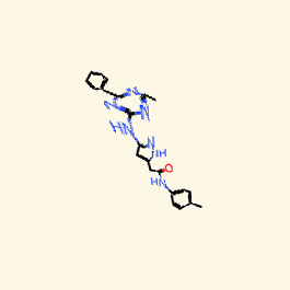 Cc1ccc(NC(=O)Cc2cc(Nc3nc(C)nc(-c4ccccc4)n3)n[nH]2)cc1